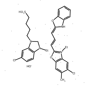 CCN1CN(CCCCS(=O)(=O)O)c2cc(Cl)ccc21.CC[n+]1c(C=CC=C2Nc3ccccc3O2)oc2cc(C)c(Cl)cc21.[OH-]